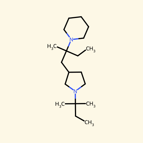 CCC(C)(C)N1CCC(CC(C)(CC)N2CCCCC2)C1